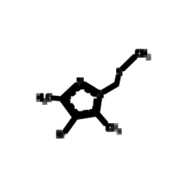 CSCn1nc(C)c(Br)c1C